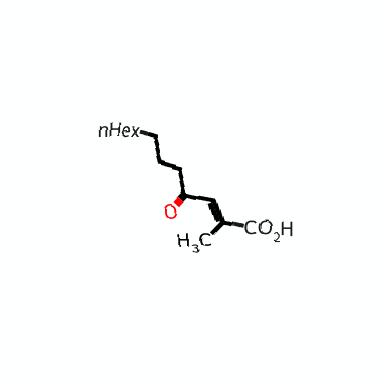 CCCCCCCCCC(=O)C=C(C)C(=O)O